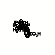 CC(OC(=O)C(C)C)OP(=O)(CC1(C(=O)NC2CCc3ccccc3N(CC(=O)O)C2=O)CCCC1)OC(C)OC(=O)C(C)C